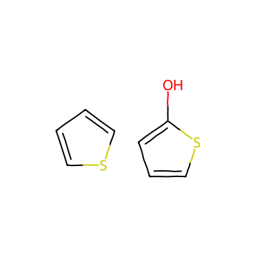 Oc1cccs1.c1ccsc1